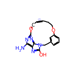 Nc1nc2nc3c1nc(O)n3Cc1cccc(c1)OCC/C=C\CO2